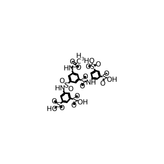 CS(=O)(=O)Nc1cc(S(=O)(=O)Nc2cc(S(=O)(=O)O)cc(S(=O)(=O)O)c2)cc(S(=O)(=O)Nc2cc(S(=O)(=O)O)cc(S(=O)(=O)O)c2)c1